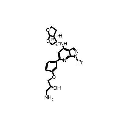 CC(C)n1ncc2c(N[C@@H]3COC4OCC[C@H]43)cc(-c3cccc(OCC(O)CN)c3)nc21